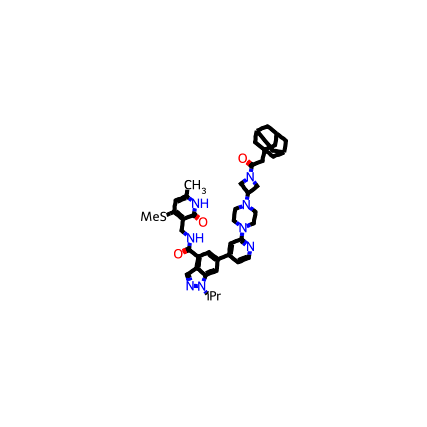 CSc1cc(C)[nH]c(=O)c1CNC(=O)c1cc(-c2ccnc(N3CCN(C4CN(C(=O)CC56CC7CC(CC(C7)C5)C6)C4)CC3)c2)cc2c1cnn2C(C)C